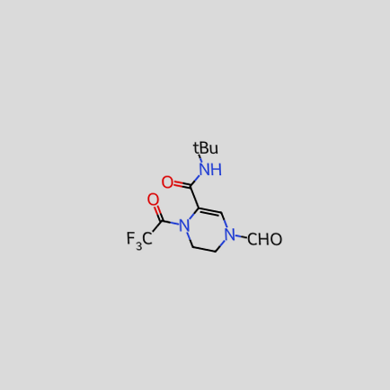 CC(C)(C)NC(=O)C1=CN(C=O)CCN1C(=O)C(F)(F)F